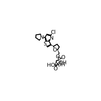 O=P(O)(O)CP(=O)(O)OC[C@@H]1CC[C@H](c2csc3c(N4CCCC4)cc(Cl)nc23)O1